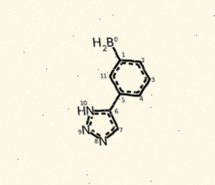 Bc1cccc(-c2cnn[nH]2)c1